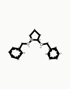 c1ccc(COB2CCCC2OCc2ccccc2)cc1